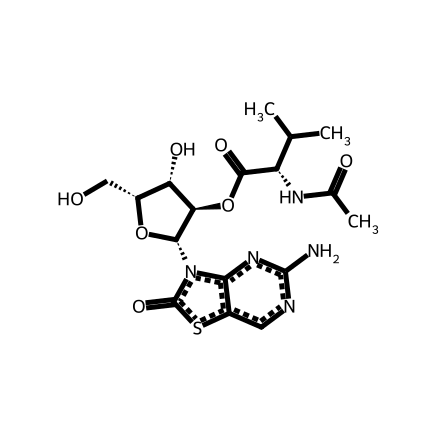 CC(=O)N[C@H](C(=O)O[C@@H]1[C@@H](O)[C@@H](CO)O[C@H]1n1c(=O)sc2cnc(N)nc21)C(C)C